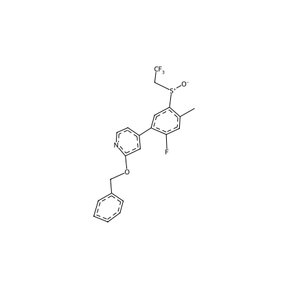 Cc1cc(F)c(-c2ccnc(OCc3ccccc3)c2)cc1[S+]([O-])CC(F)(F)F